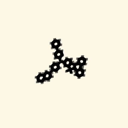 CC1(C)c2cc(N(c3ccc(-c4ccccc4)cc3)c3ccc(-c4ccc5ccccc5c4)cc3)ccc2-c2c1c1ccccc1c1ccccc21